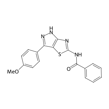 COc1ccc(-c2n[nH]c3nc(NC(=O)c4ccccc4)sc23)cc1